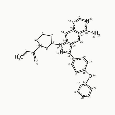 C=CC(=O)N1CCCC(n2nc(-c3ccc(Oc4ccccc4)cc3)c3cc4c(N)ncnc4cc32)C1